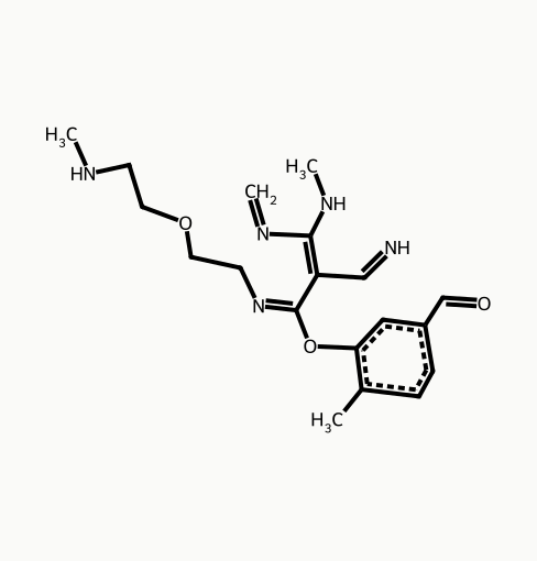 C=N/C(NC)=C(C=N)\C(=N/CCOCCNC)Oc1cc(C=O)ccc1C